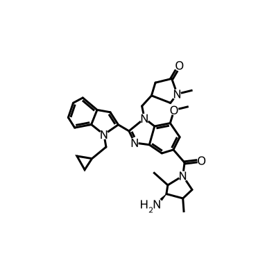 COc1cc(C(=O)N2CC(C)[C@@H](N)C2C)cc2nc(-c3cc4ccccc4n3CC3CC3)n(CC3CC(=O)N(C)C3)c12